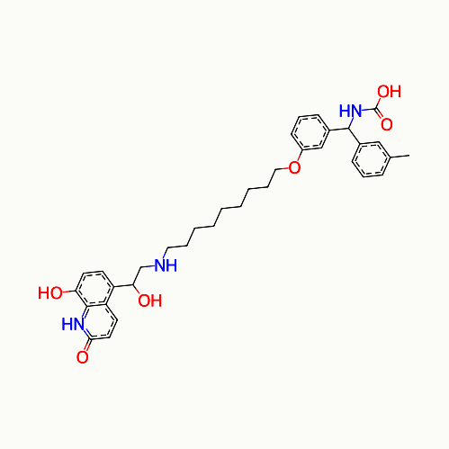 Cc1cccc(C(NC(=O)O)c2cccc(OCCCCCCCCCNCC(O)c3ccc(O)c4[nH]c(=O)ccc34)c2)c1